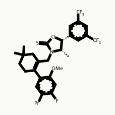 COc1cc(F)c(C(C)C)cc1C1=C(CN2C(=S)O[C@H](c3cc(C(F)(F)F)cc(C(F)(F)F)c3)[C@@H]2C)CC(C)(C)CC1